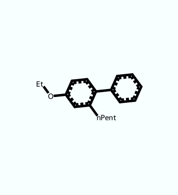 CCCCCc1cc(OCC)ccc1-c1ccccc1